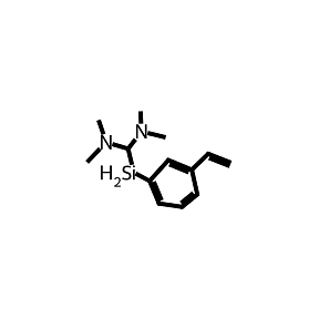 C=Cc1cccc([SiH2]C(N(C)C)N(C)C)c1